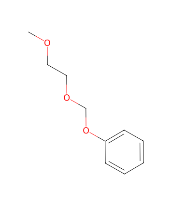 COCCOCOc1ccccc1